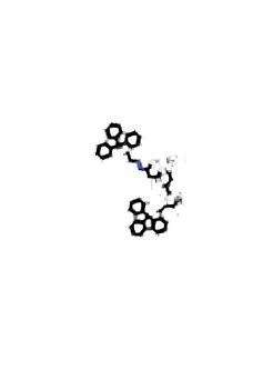 COC(=O)C(CSC(c1ccccc1)(c1ccccc1)c1ccccc1)NC(=O)C(CCSC)NC(=O)CC(O)/C=C/CCSC(c1ccccc1)(c1ccccc1)c1ccccc1